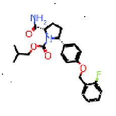 CC(C)COC(=O)N1[C@@H](c2ccc(OCc3ccccc3F)cc2)CC[C@H]1C(N)=O